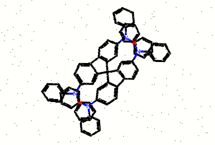 C1=CCCC(N(c2ccccc2)c2ccc3c(c2)C2(c4cc(N(c5ccccc5)c5ccccc5)ccc4-3)c3cc(N(c4ccccc4)c4ccccc4)ccc3-c3ccc(N(c4ccccc4)c4ccccc4)cc32)=C1